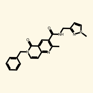 Cc1nc2ccn(Cc3ccccc3)c(=O)c2cc1C(=O)NCc1ccn(C)n1